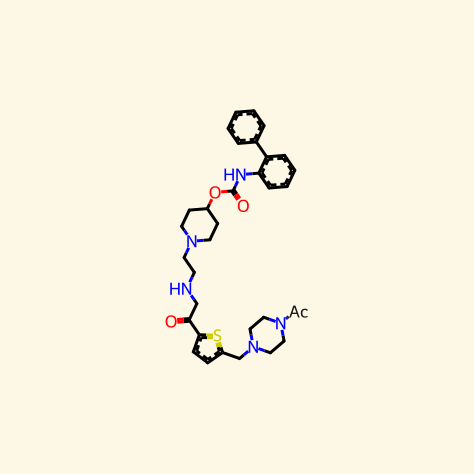 CC(=O)N1CCN(Cc2ccc(C(=O)CNCCN3CCC(OC(=O)Nc4ccccc4-c4ccccc4)CC3)s2)CC1